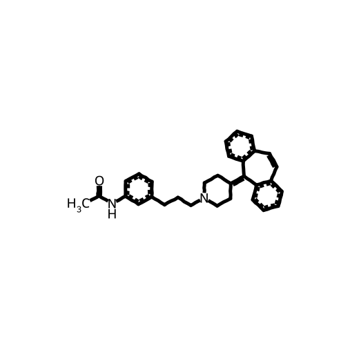 CC(=O)Nc1cccc(CCCN2CCC(=C3c4ccccc4C=Cc4ccccc43)CC2)c1